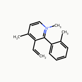 C=Cc1c(C)cc[n+](C)c1-c1ccccc1C